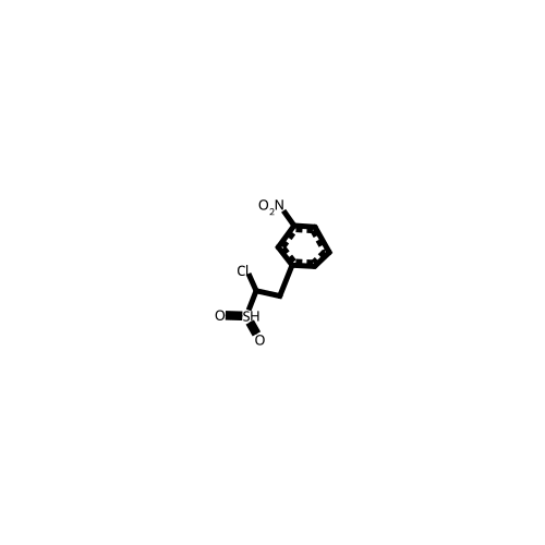 O=[N+]([O-])c1cccc(CC(Cl)[SH](=O)=O)c1